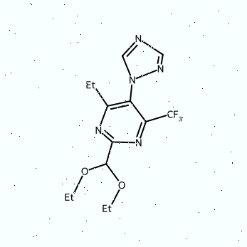 CCOC(OCC)c1nc(CC)c(-n2cncn2)c(C(F)(F)F)n1